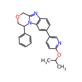 CC(C)Oc1ccc(-c2ccc3nc4n(c3c2)C(c2ccccc2)COC4)cn1